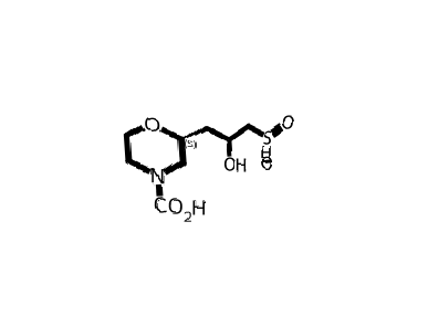 O=C(O)N1CCO[C@@H](CC(O)C[SH](=O)=O)C1